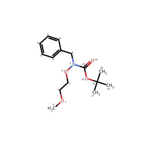 COCCON(Cc1ccccc1)C(=O)OC(C)(C)C